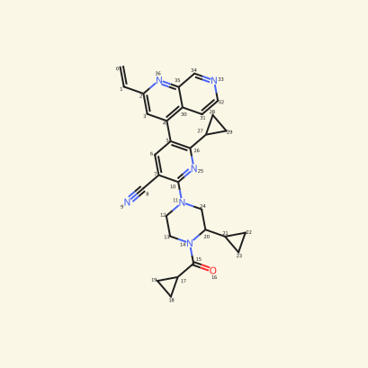 C=Cc1cc(-c2cc(C#N)c(N3CCN(C(=O)C4CC4)C(C4CC4)C3)nc2C2CC2)c2ccncc2n1